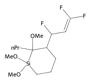 CCCC1(OC)C(C(F)C=C(F)F)CCC[Si]1(OC)OC